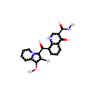 CNC(=O)c1c[nH]c2c(C(=O)c3c(C)c(OC)c4ccccn34)cccc2c1=O